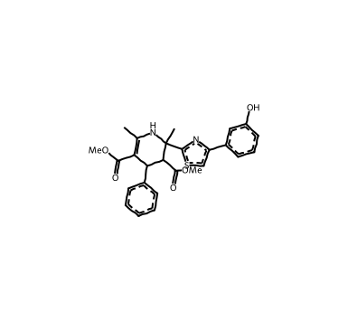 COC(=O)C1=C(C)NC(C)(c2nc(-c3cccc(O)c3)cs2)C(C(=O)OC)C1c1ccccc1